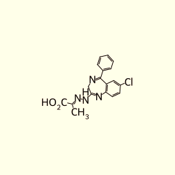 CC(=NNC1=Nc2ccc(Cl)cc2C(c2ccccc2)=NC1)C(=O)O